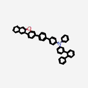 c1ccc(-c2ccccc2-c2cccc(N(c3ccccc3)c3ccc(-c4ccc(-c5ccc6c(c5)oc5cc7ccccc7cc56)cc4)cc3)c2)cc1